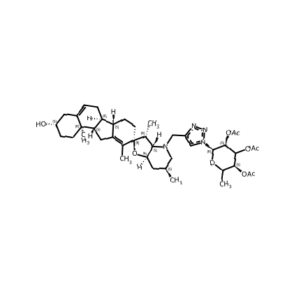 CC(=O)OC1[C@@H](OC(C)=O)C(C)O[C@@H](n2cc(CN3C[C@@H](C)C[C@H]4O[C@]5(CC[C@@H]6C(=C5C)C[C@H]5[C@H]6CC=C6C[C@@H](O)CC[C@@]65C)[C@H](C)[C@@H]43)nn2)[C@H]1OC(C)=O